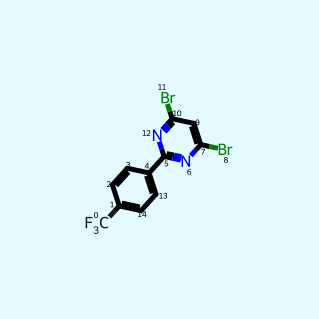 FC(F)(F)c1ccc(-c2nc(Br)cc(Br)n2)cc1